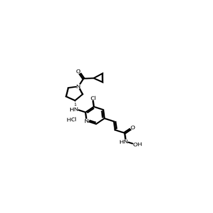 Cl.O=C(/C=C/c1cnc(N[C@@H]2CCN(C(=O)C3CC3)C2)c(Cl)c1)NO